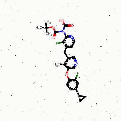 Cc1c(Cc2ccnc(N(C(=O)O)C(=O)OC(C)(C)C)c2F)cncc1Oc1ccc(C2CC2)cc1F